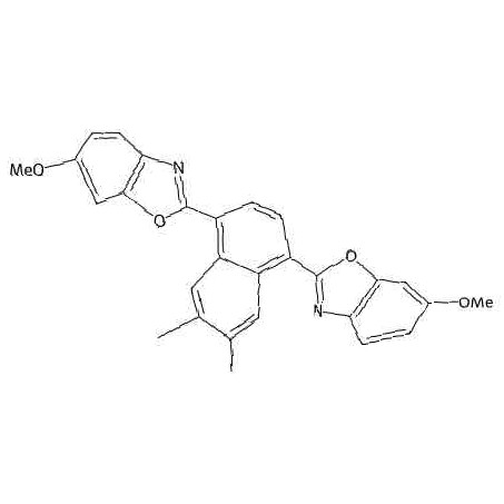 COc1ccc2nc(-c3ccc(-c4nc5ccc(OC)cc5o4)c4cc(C)c(C)cc34)oc2c1